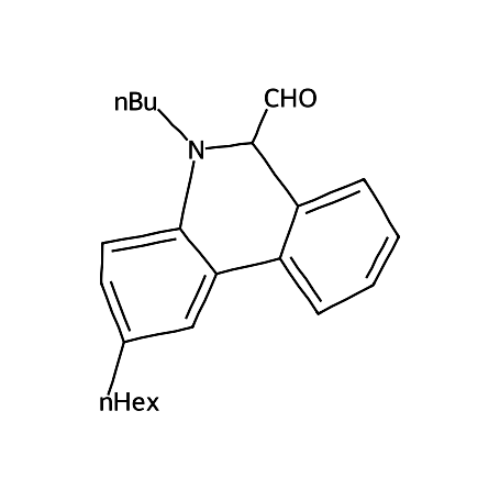 CCCCCCc1ccc2c(c1)-c1ccccc1C(C=O)N2CCCC